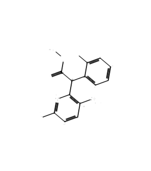 CCCCCCOC(=O)C(c1ccccc1F)c1nc(Cl)ccc1[N+](=O)[O-]